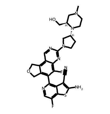 CN1CCN([C@@H]2CCN(c3ncc4c5c(c(-c6ncc(F)c7sc(N)c(C#N)c67)c(F)c4n3)COC5)C2)[C@@H](CO)C1